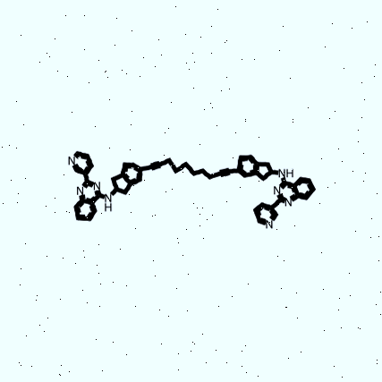 C(#Cc1ccc2c(c1)CC(Nc1nc(-c3cccnc3)nc3ccccc13)C2)CCCCCCC#Cc1ccc2c(c1)CC(Nc1nc(-c3cccnc3)nc3ccccc13)C2